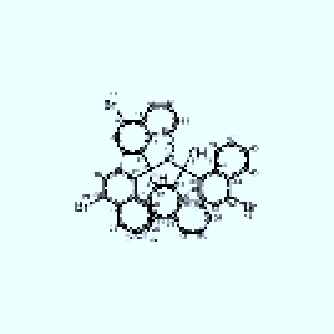 CC(C(=O)C(C)(c1ccc(Br)c2ccccc12)c1ccc(Br)c2ccccc12)(c1ccc(Br)c2ccccc12)c1ccc(Br)c2ccccc12